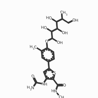 CNC(=O)c1sc(-c2ccc(OC(O)C(O)C(O)C(O)C(C)CO)c(C)c2)cc1NC(N)=O